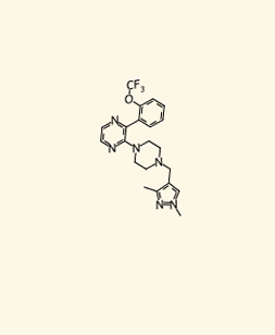 Cc1nn(C)cc1CN1CCN(c2nccnc2-c2ccccc2OC(F)(F)F)CC1